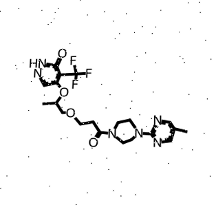 Cc1cnc(N2CCN(C(=O)CCOCC(C)Oc3cn[nH]c(=O)c3C(F)(F)F)CC2)nc1